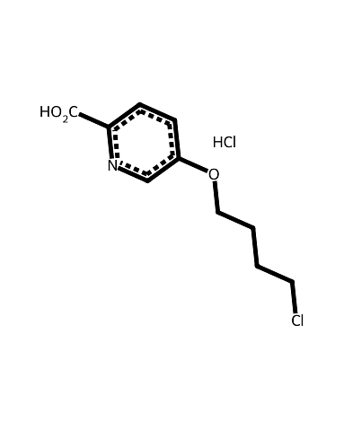 Cl.O=C(O)c1ccc(OCCCCCl)cn1